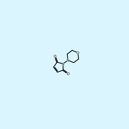 O=C1C=CC(=O)N1N1CCOCC1